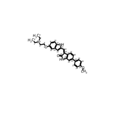 CCN(CC)CCOc1ccc2[nH]c(C=C3C(=O)Nc4cc(-c5ccc(OC)cc5)ccc43)cc2c1